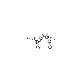 Cc1cc(Oc2ccccc2F)ncc1-n1cc(C(=O)c2cc3cc(OCC(F)F)c(NC(=O)CCCCl)cc3[nH]2)c(N)n1